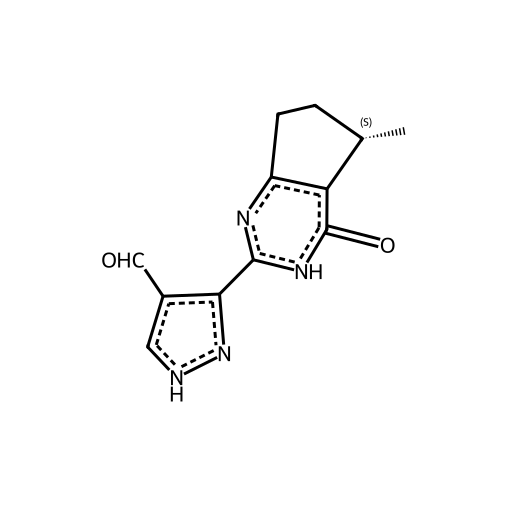 C[C@H]1CCc2nc(-c3n[nH]cc3C=O)[nH]c(=O)c21